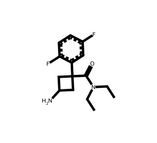 CCN(CC)C(=O)C1(c2cc(F)ccc2F)CC(N)C1